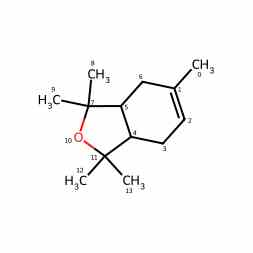 CC1=CCC2C(C1)C(C)(C)OC2(C)C